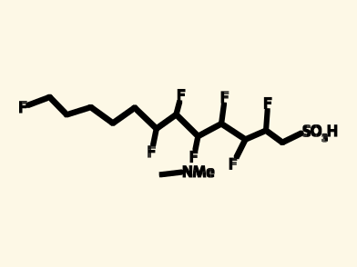 CNC.O=S(=O)(O)CC(F)C(F)C(F)C(F)C(F)C(F)CCCCCF